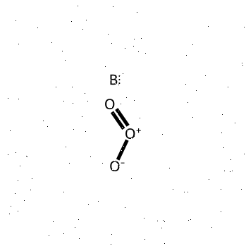 O=[O+][O-].[B]